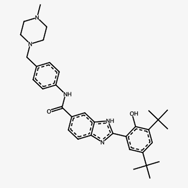 CN1CCN(Cc2ccc(NC(=O)c3ccc4nc(-c5cc(C(C)(C)C)cc(C(C)(C)C)c5O)[nH]c4c3)cc2)CC1